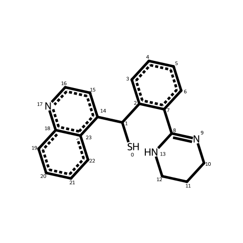 SC(c1ccccc1C1=NCCCN1)c1ccnc2ccccc12